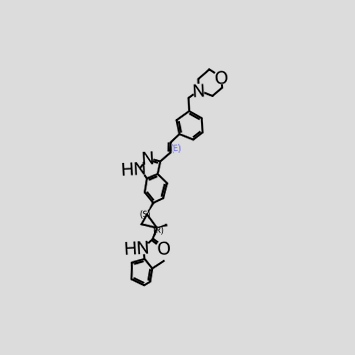 Cc1ccccc1NC(=O)[C@]1(C)C[C@H]1c1ccc2c(/C=C/c3cccc(CN4CCOCC4)c3)n[nH]c2c1